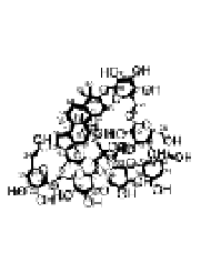 C[C@H](CC[C@@H](O[C@@H]1O[C@H](CO[C@@H]2O[C@H](CCO)C[C@H](O)[C@H]2O)[C@@H](O)[C@H](O)[C@H]1O[C@@H]1O[C@H](CO)[C@@H](O[C@H]2C[C@@H](O)C[C@@H](CO)O2)[C@H](O)[C@H]1O)C(C)(C)O)[C@H]1CC[C@@]2(C)[C@@H]3CC=C4[C@@H](CC[C@H](O[C@@H]5O[C@H](CO[C@@H]6O[C@H](CO)[C@@H](O)[C@H](O)[C@H]6O)[C@@H](O)[C@H](O)[C@H]5O)C4(C)C)[C@]3(C)[C@H](O)C[C@]12C